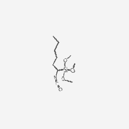 CCCCCC(N=C=O)[Si](OC)(OC)OC